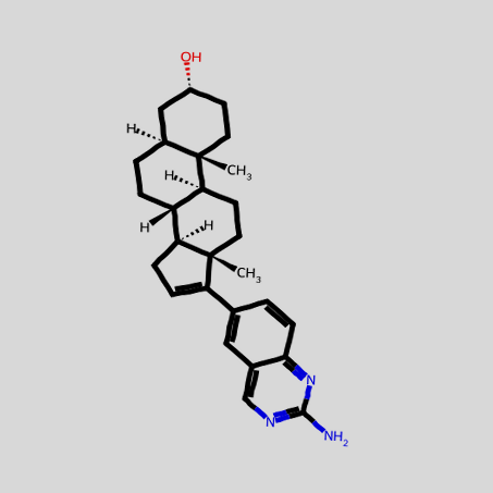 C[C@]12CC[C@@H](O)C[C@@H]1CC[C@@H]1[C@@H]2CC[C@]2(C)C(c3ccc4nc(N)ncc4c3)=CC[C@@H]12